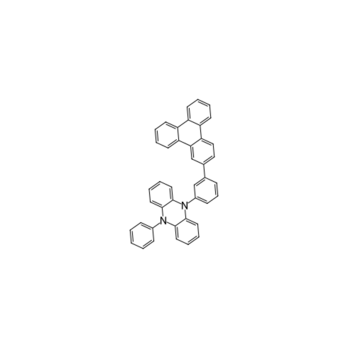 c1ccc(N2c3ccccc3N(c3cccc(-c4ccc5c6ccccc6c6ccccc6c5c4)c3)c3ccccc32)cc1